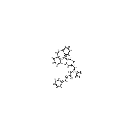 O=C(N[C@@H](CN1CCC(=C2c3ccccc3C=Cc3ccccc32)CC1)C(=O)O)OCc1ccccc1